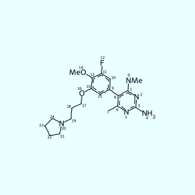 CNc1nc(N)nc(C)c1-c1cc(F)c(OC)c(OCCCN2CCCC2)c1